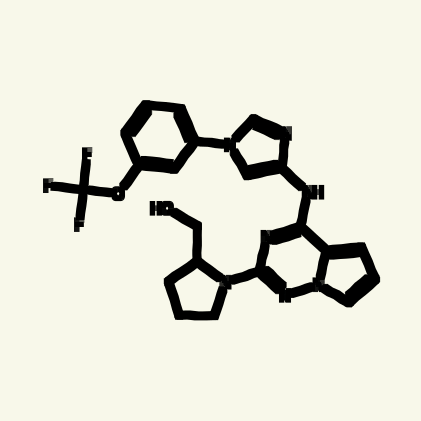 OCC1CCCN1c1nc(Nc2cn(-c3cccc(OC(F)(F)F)c3)cn2)c2cccn2n1